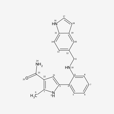 Cc1[nH]c(-c2ccccc2NCc2ccc3[nH]ccc3c2)cc1C(N)=O